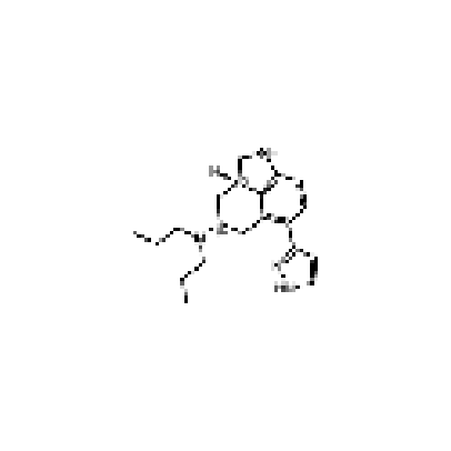 CCCN(CCC)[C@H]1Cc2c(-c3cc[nH]n3)ccc3c2[C@@H](CN3)C1